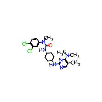 Cc1cnc(N[C@H]2CC[C@@H](NC(=O)N(C)c3ccc(Cl)c(Cl)c3)CC2)nc1N(C)C